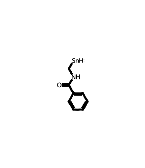 O=C(N[CH2][SnH])c1ccccc1